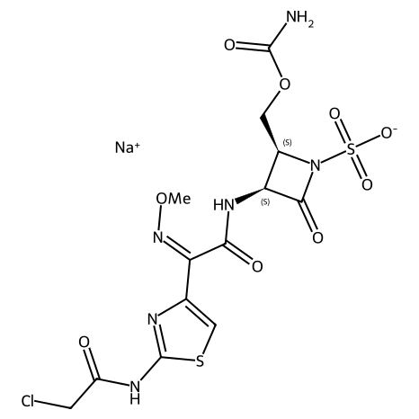 CON=C(C(=O)N[C@@H]1C(=O)N(S(=O)(=O)[O-])[C@@H]1COC(N)=O)c1csc(NC(=O)CCl)n1.[Na+]